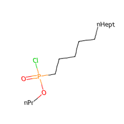 CCCCCCCCCCCCP(=O)(Cl)OCCC